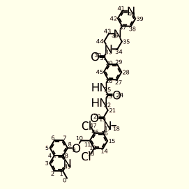 Cc1ccc2cccc(OCc3c(Cl)ccc(N(C)C(=O)CNC(=O)Nc4cccc(C(=O)N5CCN(c6ccncc6)CC5)c4)c3Cl)c2n1